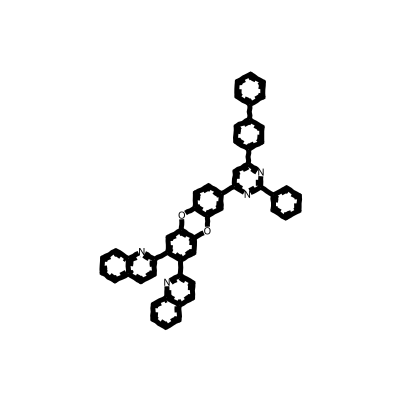 c1ccc(-c2ccc(-c3cc(-c4ccc5c(c4)Oc4cc(-c6ccc7ccccc7n6)c(-c6ccc7ccccc7n6)cc4O5)nc(-c4ccccc4)n3)cc2)cc1